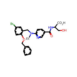 CCN(Cc1cc(Br)ccc1OCc1ccccc1)c1ccc(C(=O)NC(CO)C(=O)O)cn1